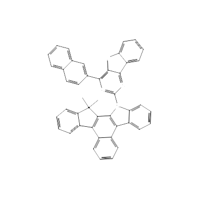 CC1(C)c2ccccc2-c2c1c1c(c3ccccc23)c2ccccc2n1-c1nc(-c2ccc3ccccc3c2)c2oc3ccccc3c2n1